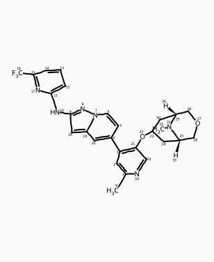 Cc1cc(-c2ccn3nc(Nc4cccc(C(F)(F)F)n4)cc3c2)c(OC2C[C@H]3COC[C@@H](C2)N3C)cn1